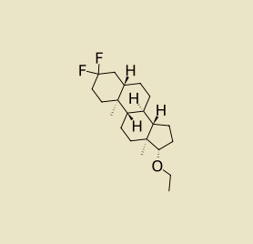 CCO[C@H]1CC[C@H]2[C@@H]3CC[C@H]4CC(F)(F)CC[C@]4(C)[C@H]3CC[C@]12C